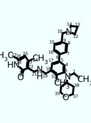 CCN(c1cc(-c2ccc(CN3CCC3)cc2)cc(CNCc2c(C)cc(C)[nH]c2=O)c1C)C1CCOCC1